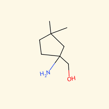 CC1(C)CCC(N)(CO)C1